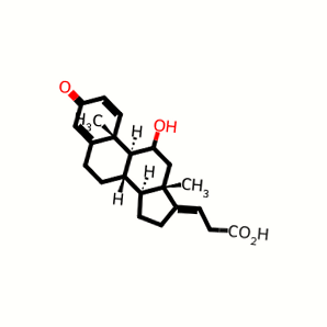 C[C@]12C=CC(=O)C=C1CC[C@@H]1[C@@H]2C(O)C[C@]2(C)C(=CCC(=O)O)CC[C@@H]12